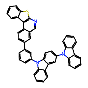 c1cc(-c2ccc3c(cnc4sc5ccccc5c43)c2)cc(-n2c3ccccc3c3cc(-n4c5ccccc5c5ccccc54)ccc32)c1